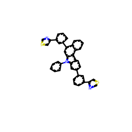 c1ccc(-n2c3cc(-c4cccc(-c5cscn5)c4)ccc3c3c4ccccc4c(-c4cccc(-c5cscn5)c4)cc32)cc1